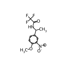 COc1ccc(C(C)NC(=O)C(F)(F)F)cc1[N+](=O)[O-]